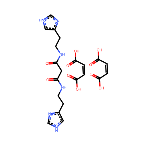 O=C(CC(=O)NCCc1c[nH]cn1)NCCc1c[nH]cn1.O=C(O)/C=C\C(=O)O.O=C(O)/C=C\C(=O)O